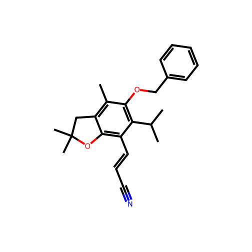 Cc1c2c(c(C=CC#N)c(C(C)C)c1OCc1ccccc1)OC(C)(C)C2